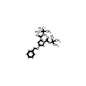 CC(C)(C)NC(=O)[C@@H]1C[C@H](OCc2ccccc2)CN1C(=O)OC(C)(C)C